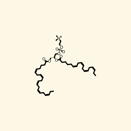 CC/C=C\C/C=C\C/C=C\C/C=C\C/C=C\CCCC(=O)OC[C@H](COP(=O)([O-])OCC[N+](C)(C)C)OC(=O)CCCC/C=C\C/C=C\C/C=C\C/C=C\CC